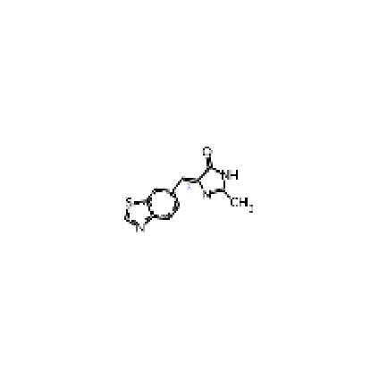 CC1=N/C(=C\c2ccc3ncsc3c2)C(=O)N1